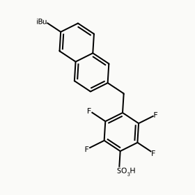 CCC(C)c1ccc2cc(Cc3c(F)c(F)c(S(=O)(=O)O)c(F)c3F)ccc2c1